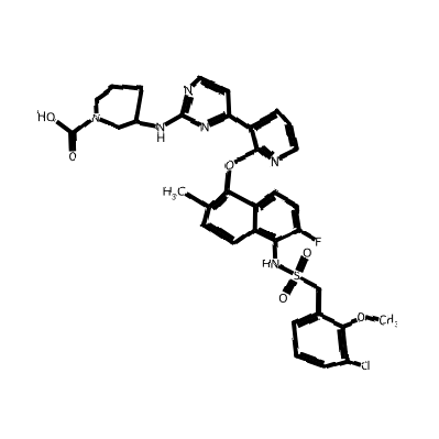 COc1c(Cl)cccc1CS(=O)(=O)Nc1c(F)ccc2c(Oc3ncccc3-c3ccnc(NC4CCCN(C(=O)O)C4)n3)c(C)ccc12